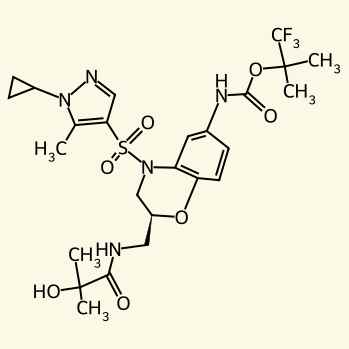 Cc1c(S(=O)(=O)N2C[C@H](CNC(=O)C(C)(C)O)Oc3ccc(NC(=O)OC(C)(C)C(F)(F)F)cc32)cnn1C1CC1